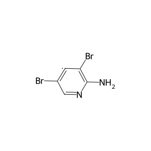 Nc1ncc(Br)[c]c1Br